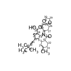 CC1=CCC(C(=O)N(c2cc(C#CC(C)(C)C)sc2C(=O)O)C2CCC3(CC2)OCCO3)CC1